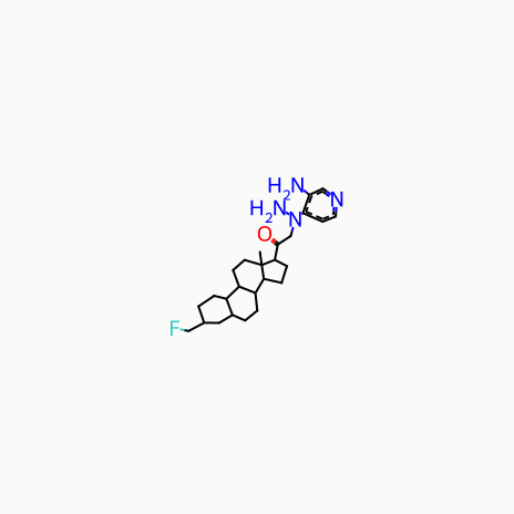 CC12CCC3C4CCC(CF)CC4CCC3C1CCC2C(=O)CN(N)c1ccncc1N